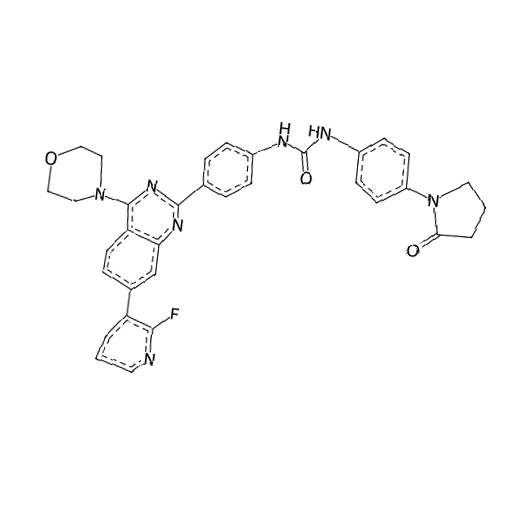 O=C(Nc1ccc(-c2nc(N3CCOCC3)c3ccc(-c4cccnc4F)cc3n2)cc1)Nc1ccc(N2CCCC2=O)cc1